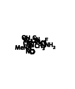 CNc1nc2ccccc2n1-c1nc(-c2c(C)nn(-c3cnc(N)c(F)c3)c2C)cc(N2CCOC[C@H]2C)n1